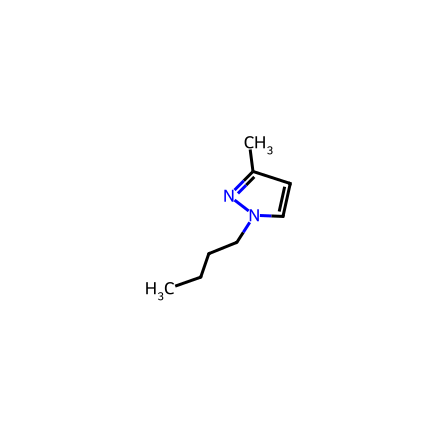 CCCCn1ccc(C)n1